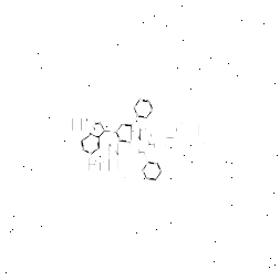 C=CCOC(=O)C(Oc1nc(-c2ccccc2)cc(-c2c[nH]c3ccc(Br)cc23)c1N)c1ccccc1